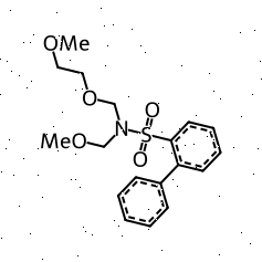 COCCOCN(COC)S(=O)(=O)c1ccccc1-c1ccccc1